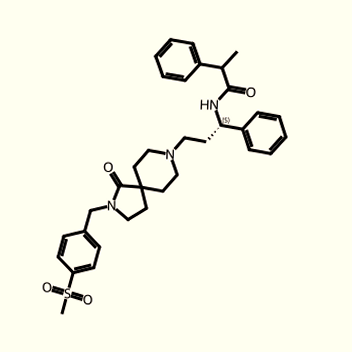 CC(C(=O)N[C@@H](CCN1CCC2(CC1)CCN(Cc1ccc(S(C)(=O)=O)cc1)C2=O)c1ccccc1)c1ccccc1